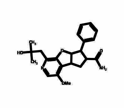 COc1cnc(CC(C)(C)O)c2c1C1CC(C(N)=O)C(c3ccccc3)C1O2